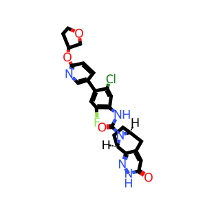 O=C(Nc1cc(Cl)c(-c2ccc(OC3CCOC3)nc2)cc1F)N1[C@H]2CC[C@@H]1c1n[nH]c(=O)cc1C2